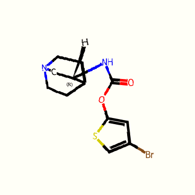 O=C(N[C@H]1CN2CCC1CC2)Oc1cc(Br)cs1